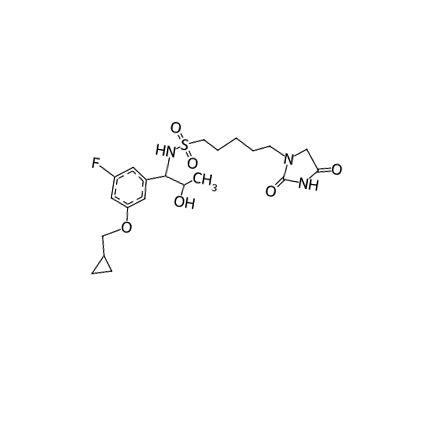 CC(O)C(NS(=O)(=O)CCCCCN1CC(=O)NC1=O)c1cc(F)cc(OCC2CC2)c1